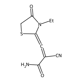 CCN1C(=O)CSC1=C=C(C#N)C(N)=O